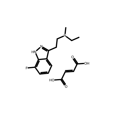 CCN(C)CCc1n[nH]c2c(F)cccc12.O=C(O)/C=C/C(=O)O